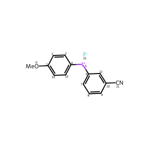 COc1ccc([I+]c2cccc(C#N)c2)cc1.[F-]